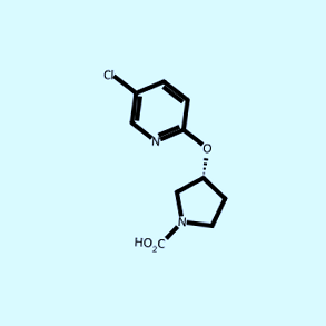 O=C(O)N1CC[C@@H](Oc2ccc(Cl)cn2)C1